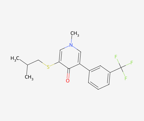 CC(C)CSc1cn(C)cc(-c2cccc(C(F)(F)F)c2)c1=O